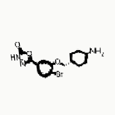 N[C@H]1CC[C@H](COc2cc(-c3n[nH]c(=O)o3)ccc2Br)CC1